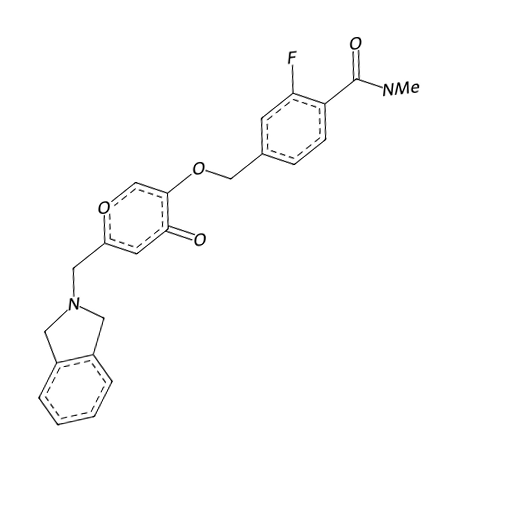 CNC(=O)c1ccc(COc2coc(CN3Cc4ccccc4C3)cc2=O)cc1F